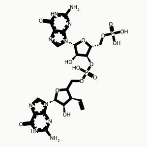 C=C[C@@H]1C(COP(=O)(O)O[C@H]2[C@@H](O)[C@H](n3cnc4c(=O)[nH]c(N)nc43)O[C@@H]2COP(=O)(O)O)O[C@@H](n2cnc3c(=O)[nH]c(N)nc32)[C@@H]1O